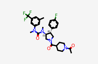 CC(=O)N1CCC(C(=O)N2C[C@@H](N(C)C(=O)N(C)c3cc(C)cc(C(F)(F)F)c3)[C@H](c3ccc(F)cc3)C2)CC1